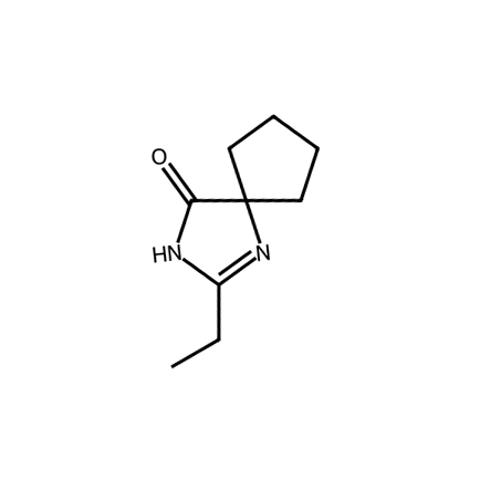 CCC1=NC2(CCCC2)C(=O)N1